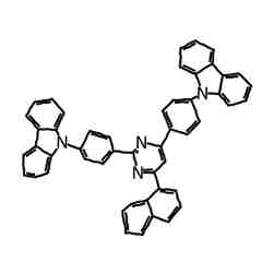 c1ccc2c(-c3cc(-c4ccc(-n5c6ccccc6c6ccccc65)cc4)nc(-c4ccc(-n5c6ccccc6c6ccccc65)cc4)n3)cccc2c1